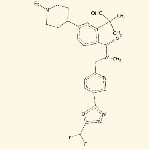 CCN1CCC(c2ccc(C(=O)N(C)Cc3ccc(-c4nnc(C(F)F)o4)cn3)c(C(C)(C)C=O)c2)CC1